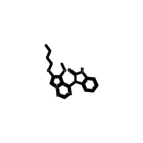 CCCCOc1cn2ncnc(C3C(=O)Nc4ccccc43)c2c1OC